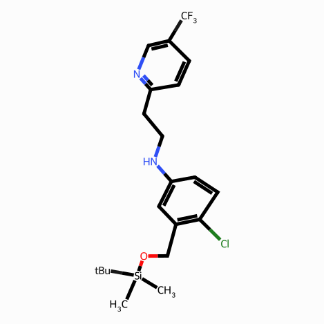 CC(C)(C)[Si](C)(C)OCc1cc(NCCc2ccc(C(F)(F)F)cn2)ccc1Cl